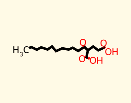 CCCCCCCCCCCC(=O)C(CCC(=O)O)C(=O)O